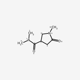 CN(C)C(=O)C1CC(=O)N(C)C1